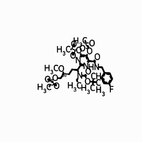 CCN(C(=O)OC(C)(C)C)C(CC[C@@H](COS(C)(=O)=O)OC)c1nc(OS(C)(=O)=O)c(OS(C)(=O)=O)c(C(=O)NCc2ccc(F)cc2)n1